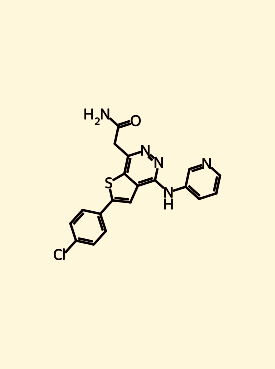 NC(=O)Cc1nnc(Nc2cccnc2)c2cc(-c3ccc(Cl)cc3)sc12